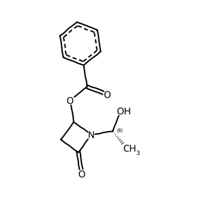 C[C@@H](O)N1C(=O)CC1OC(=O)c1ccccc1